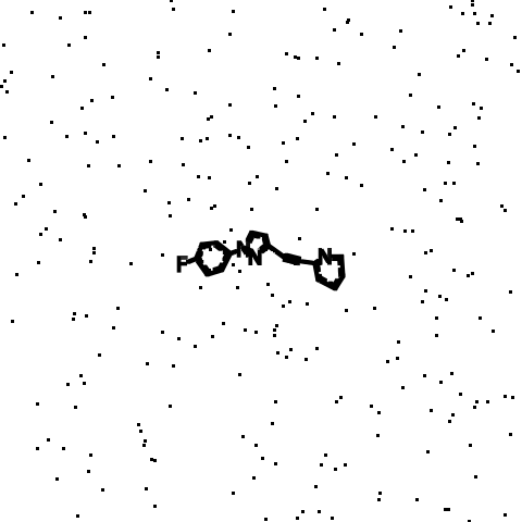 Fc1ccc(-n2ccc(C#Cc3ccccn3)n2)cc1